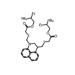 CCCCC(CC)COC(=O)CSCC1CN(CSCC(=O)OCC(CC)CCCC)c2cccc3cccc1c23